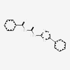 O=C(NC(=S)Nc1nsc(-c2ccccc2)n1)c1ccccc1